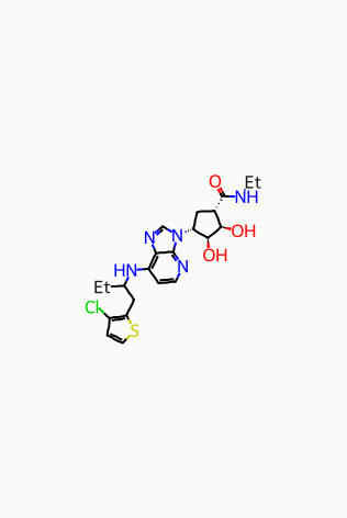 CCNC(=O)[C@H]1C[C@@H](n2cnc3c(NC(CC)Cc4sccc4Cl)ccnc32)[C@H](O)[C@@H]1O